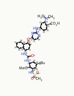 COc1c(NC(=O)Nc2ccc(Oc3ccnc(Nc4ccc(C(=O)O)c(N(C)C)c4)n3)c3ccccc23)cc(C(C)(C)C)cc1NS(C)(=O)=O